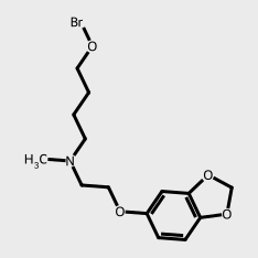 CN(CCCCOBr)CCOc1ccc2c(c1)OCO2